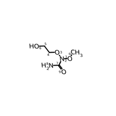 CON(OCCO)C(N)=O